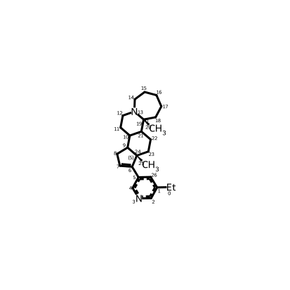 CCc1cncc(C2=CCC3C4CCN5CCCCC[C@]5(C)C4CC[C@]23C)c1